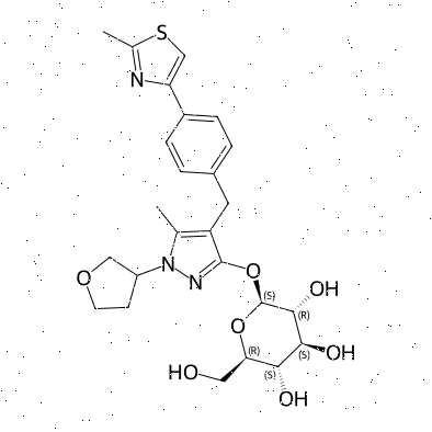 Cc1nc(-c2ccc(Cc3c(O[C@@H]4O[C@H](CO)[C@@H](O)[C@H](O)[C@H]4O)nn(C4CCOC4)c3C)cc2)cs1